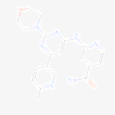 Cc1ccc(-c2cc(Nc3cc(C(N)=O)ccn3)nc(N3CCOCC3)n2)cn1